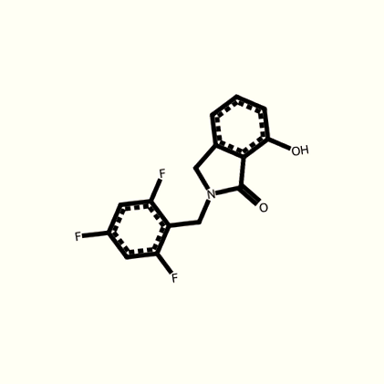 O=C1c2c(O)cccc2CN1Cc1c(F)cc(F)cc1F